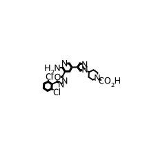 Nc1ncc(-c2cnn(C3CCN(C(=O)O)CC3)c2)cc1-c1nnc(-c2c(Cl)cccc2Cl)o1